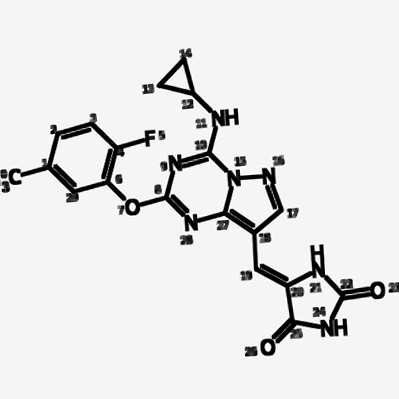 Cc1ccc(F)c(Oc2nc(NC3CC3)n3ncc(/C=C4\NC(=O)NC4=O)c3n2)c1